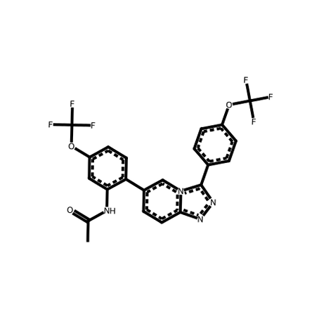 CC(=O)Nc1cc(OC(F)(F)F)ccc1-c1ccc2nnc(-c3ccc(OC(F)(F)F)cc3)n2c1